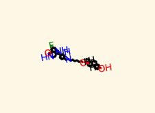 C[C@]12CC[C@@H]3c4ccc(O)cc4CC[C@H]3[C@@H]1CC[C@@H]2OCCCCCCNCc1ccc(-c2[nH]c3cc(F)cc4c3c2CCNC4=O)cc1